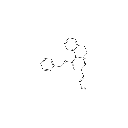 CC=CCC[C@@H]1CCc2ccccc2N1C(=O)OCc1ccccc1